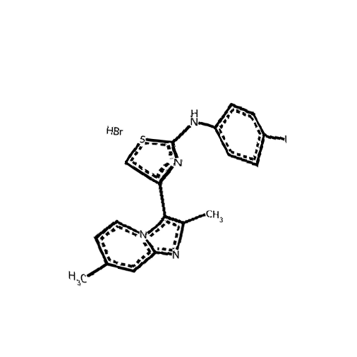 Br.Cc1ccn2c(-c3csc(Nc4ccc(I)cc4)n3)c(C)nc2c1